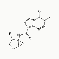 Cn1nnc2c(C(=O)NC34CC3CCC4F)ncn2c1=O